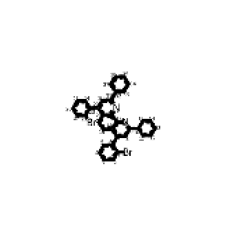 Brc1ccccc1-c1cc(-c2ccccc2)nc2c1ccc1c(-c3ccccc3Br)cc(-c3ccccc3)nc12